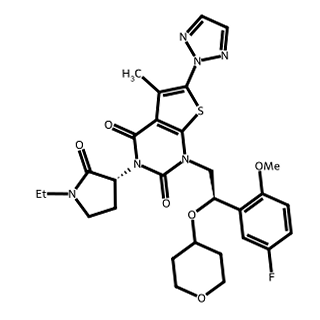 CCN1CC[C@@H](n2c(=O)c3c(C)c(-n4nccn4)sc3n(C[C@H](OC3CCOCC3)c3cc(F)ccc3OC)c2=O)C1=O